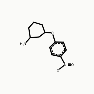 NC1CCCC(Oc2ccc([N+](=O)[O-])cc2)C1